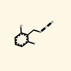 O=C=NCc1c(F)cccc1Cl